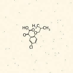 CC(C)COc1ccc(Cl)cc1C(=O)C(=O)O